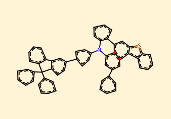 c1ccc(-c2cccc(N(c3ccc(-c4ccc5c(c4)-c4ccccc4C5(c4ccccc4)c4ccccc4)cc3)c3ccccc3-c3ccc4c(c3)sc3ccccc34)c2)cc1